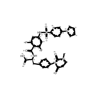 Cn1ccc(=O)n(-c2ccc(C[C@H](NC(=O)c3c(F)cc(NS(=O)(=O)c4ccc(-n5cccc5)cn4)cc3F)C(=O)O)cc2)c1=O